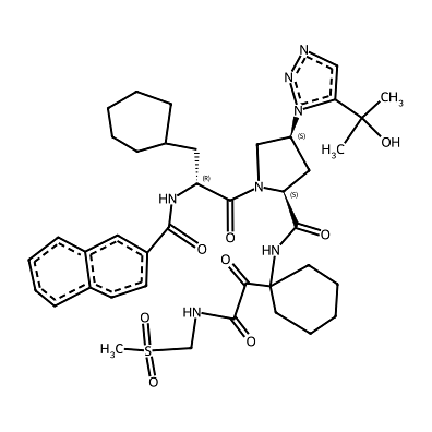 CC(C)(O)c1cnnn1[C@H]1C[C@@H](C(=O)NC2(C(=O)C(=O)NCS(C)(=O)=O)CCCCC2)N(C(=O)[C@@H](CC2CCCCC2)NC(=O)c2ccc3ccccc3c2)C1